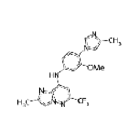 COc1cc(Nc2cc(C(F)(F)F)nn3cc(C)nc23)ccc1-n1cnc(C)c1